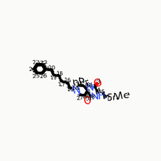 CCCN1C(=O)[C@H](CCSC)NC(=O)C12CCN(CCCCCCc1ccccc1)CC2